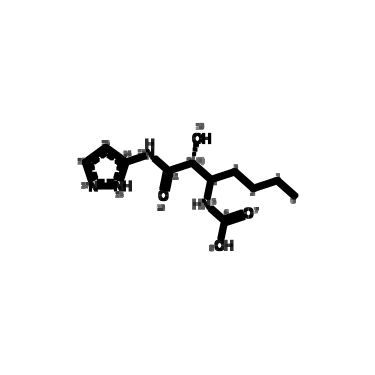 CCCCC(NC(=O)O)[C@@H](O)C(=O)Nc1ccn[nH]1